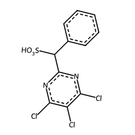 O=S(=O)(O)C(c1ccccc1)c1nc(Cl)c(Cl)c(Cl)n1